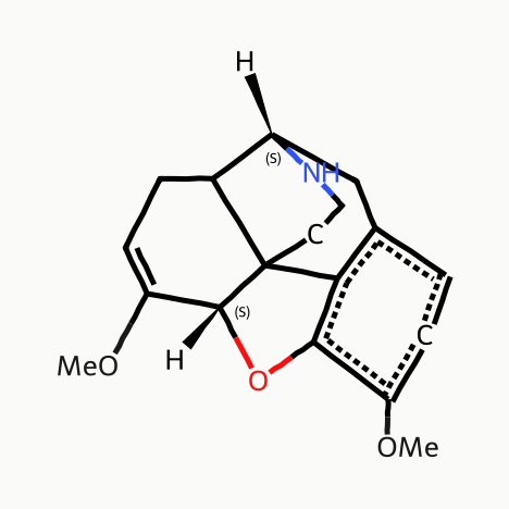 COC1=CCC2[C@@H]3Cc4ccc(OC)c5c4C2(CCN3)[C@@H]1O5